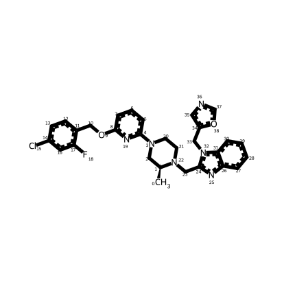 C[C@H]1CN(c2cccc(OCc3ccc(Cl)cc3F)n2)CCN1Cc1nc2ccccc2n1Cc1cnco1